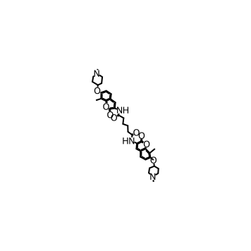 Cc1c(OC2CCN(C)CC2)ccc2cc(NC(=O)CCCCC(=O)Nc3cc4ccc(OC5CCN(C)CC5)c(C)c4oc3=O)c(=O)oc12